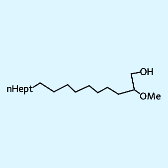 CCCCCCCCCCCCCCCC(CO)OC